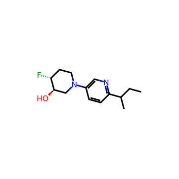 CCC(C)c1ccc(N2CC[C@@H](F)[C@H](O)C2)cn1